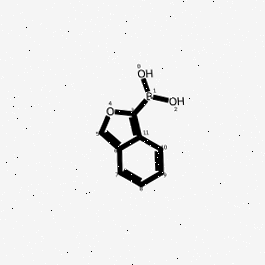 OB(O)c1occ2ccccc12